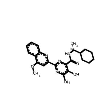 COc1cc(-c2nc(O)c(O)c(C(=O)N[C@H](C)C3CCCCC3)n2)nc2ccccc12